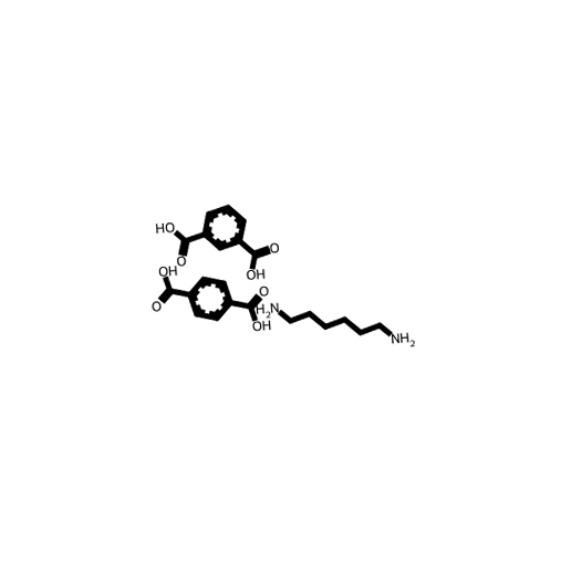 NCCCCCCN.O=C(O)c1ccc(C(=O)O)cc1.O=C(O)c1cccc(C(=O)O)c1